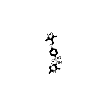 Cc1cnc(NS(=O)(=O)c2ccc(OCc3c(C)noc3C)cc2)c(C)n1